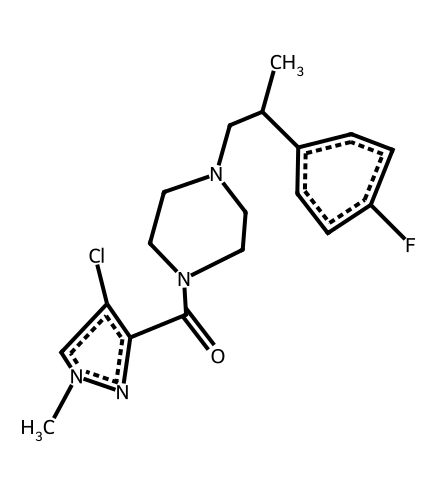 CC(CN1CCN(C(=O)c2nn(C)cc2Cl)CC1)c1ccc(F)cc1